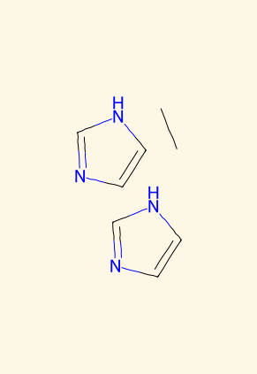 CC.c1c[nH]cn1.c1c[nH]cn1